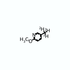 [2H]C([2H])([2H])c1ccc(OC)nc1